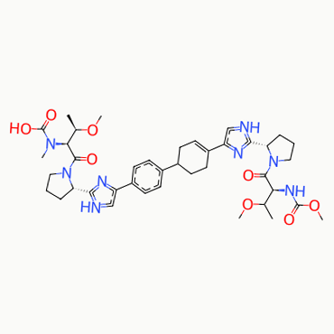 COC(=O)N[C@H](C(=O)N1CCC[C@H]1c1nc(C2=CCC(c3ccc(-c4c[nH]c([C@@H]5CCCN5C(=O)[C@H]([C@@H](C)OC)N(C)C(=O)O)n4)cc3)CC2)c[nH]1)C(C)OC